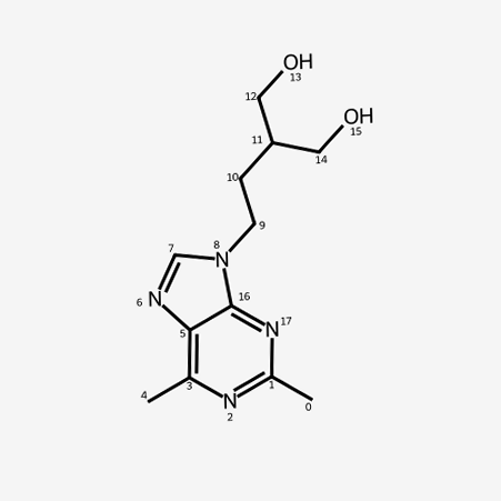 Cc1nc(C)c2ncn(CCC(CO)CO)c2n1